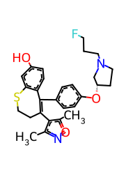 Cc1noc(C)c1C1=C(c2ccc(O[C@H]3CCN(CCCF)C3)cc2)c2ccc(O)cc2SCC1